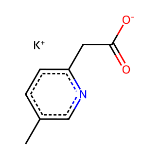 Cc1ccc(CC(=O)[O-])nc1.[K+]